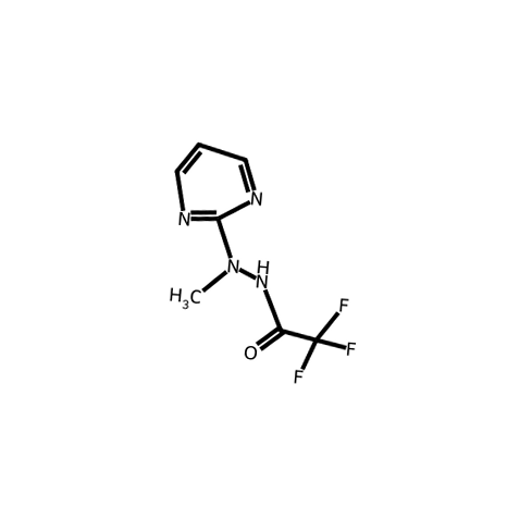 CN(NC(=O)C(F)(F)F)c1ncccn1